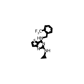 FC(F)(F)c1ccccc1CNc1nc(NC2CC2)nc2ccsc12